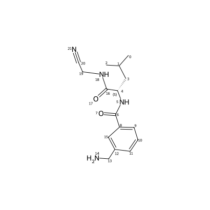 CC(C)C[C@H](NC(=O)c1cccc(CN)c1)C(=O)NCC#N